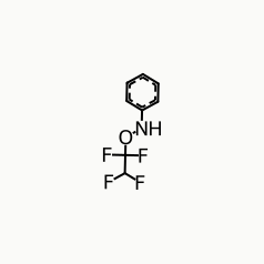 FC(F)C(F)(F)ONc1ccccc1